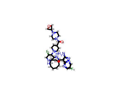 Nc1nn2cc(F)cnc2c1C(=O)NC1C(N2CCC(C(=O)N3CCN(C4COC4)CC3)CC2)C(F)CNC12CCCCCCC2